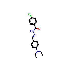 CCN(CC)c1ccc(/C=N/NC(=O)c2ccc(Cl)cc2)cc1